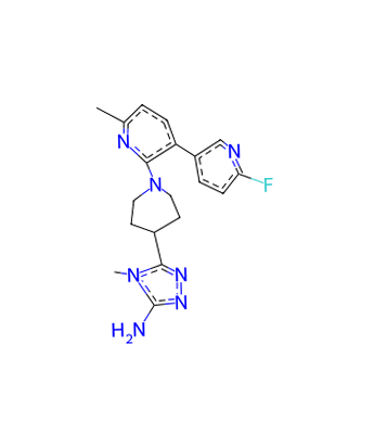 Cc1ccc(-c2ccc(F)nc2)c(N2CCC(c3nnc(N)n3C)CC2)n1